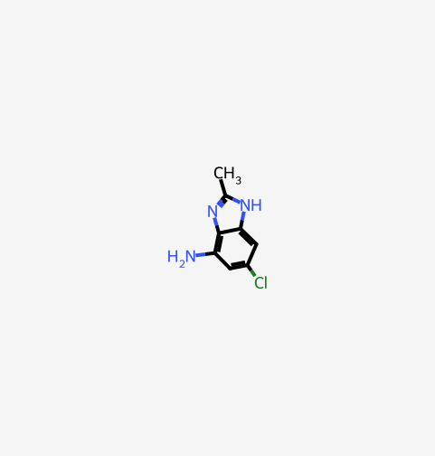 Cc1nc2c(N)cc(Cl)cc2[nH]1